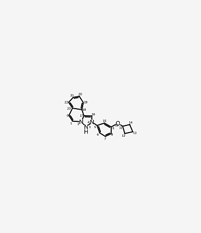 C1=CN2NN(c3cccc(OC4CCC4)c3)C=C2c2ccccc21